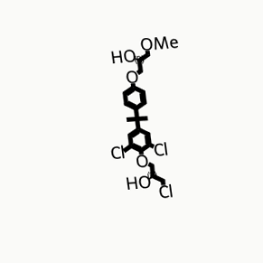 COC[C@@H](O)COc1ccc(C(C)(C)c2cc(Cl)c(OC[C@@H](O)CCl)c(Cl)c2)cc1